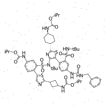 CC(C)OC(=O)Nc1ccc(-c2cnc(C3CC(NC(=O)OC(C)C)C3)s2)c(S(=O)(=O)N(c2nc([C@H]3CC[C@H](NC(=O)OC(C)C)CC3)sc2-c2ccc(NC(=O)NCc3ccccc3)cc2S(=O)(=O)NC(C)(C)C)C(C)(C)C)c1